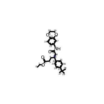 CCOC(=O)CC/C(=C\C(=O)Nc1ccc2c(c1)OCCO2)c1ccc(C(C)(C)C)cc1